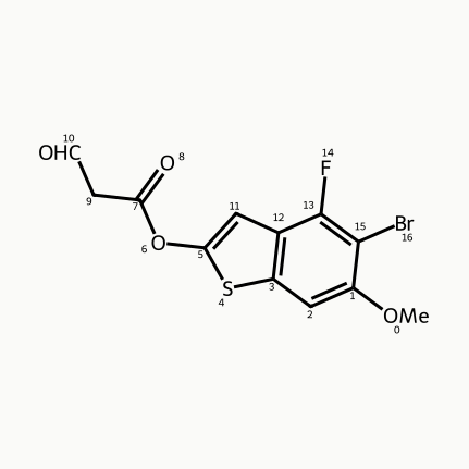 COc1cc2sc(OC(=O)CC=O)cc2c(F)c1Br